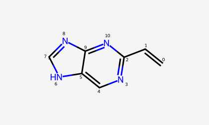 C=Cc1ncc2[nH][c]nc2n1